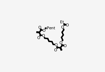 C=C(C(=O)OCCCCC)C(=O)OCCCCCOC(=O)C(=C)C(=O)OCCCCCOC(=O)CC